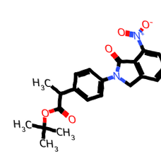 CC(C(=O)OC(C)(C)C)c1ccc(N2Cc3cccc([N+](=O)[O-])c3C2=O)cc1